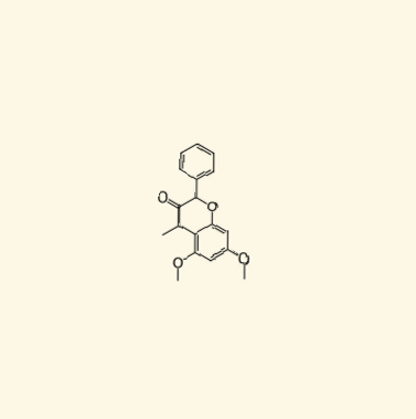 COc1cc(OC)c2c(c1)OC(c1ccccc1)C(=O)C2C